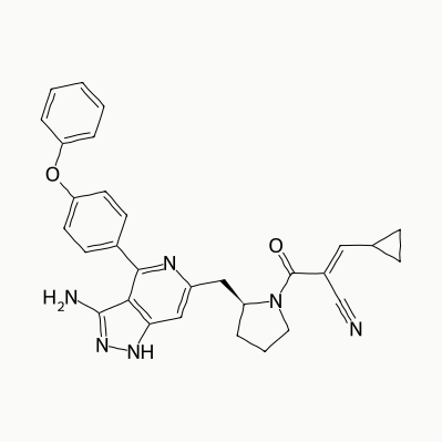 N#CC(=CC1CC1)C(=O)N1CCC[C@H]1Cc1cc2[nH]nc(N)c2c(-c2ccc(Oc3ccccc3)cc2)n1